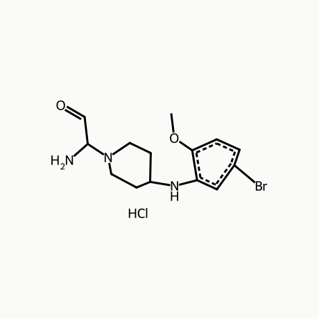 COc1ccc(Br)cc1NC1CCN(C(N)C=O)CC1.Cl